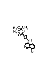 CC(C)(C)OC(=O)N1CC(Nc2cnnc3c(Br)cccc23)C1